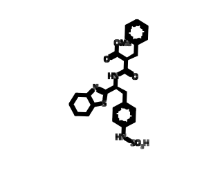 COC(=O)[C@@H](Cc1ccccc1)C(=O)N[C@@H](Cc1ccc(NS(=O)(=O)O)cc1)C1=NC2CCCCC2S1